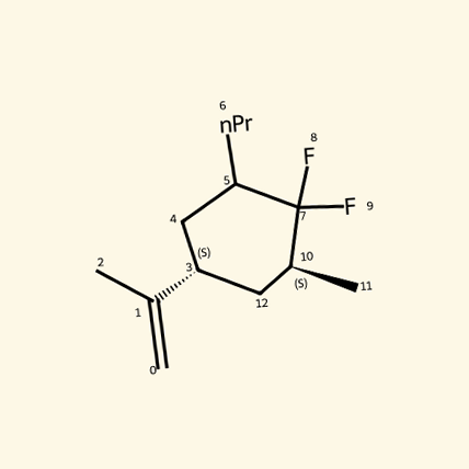 C=C(C)[C@@H]1CC(CCC)C(F)(F)[C@@H](C)C1